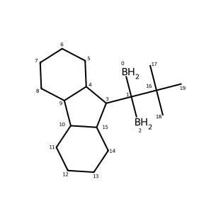 BC(B)(C1C2CCCCC2C2CCCCC21)C(C)(C)C